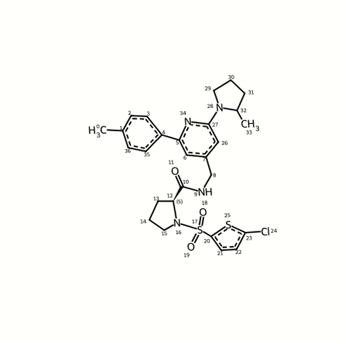 Cc1ccc(-c2cc(CNC(=O)[C@@H]3CCCN3S(=O)(=O)c3ccc(Cl)s3)cc(N3CCCC3C)n2)cc1